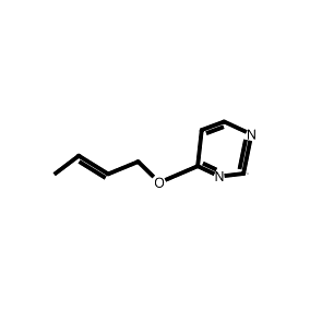 CC=CCOc1ccn[c]n1